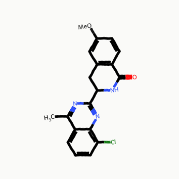 COc1ccc2c(c1)CC(c1nc(C)c3cccc(Cl)c3n1)NC2=O